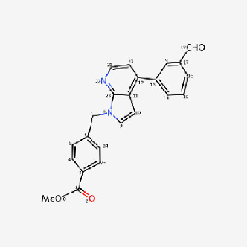 COC(=O)c1ccc(Cn2ccc3c(-c4cccc(C=O)c4)ccnc32)cc1